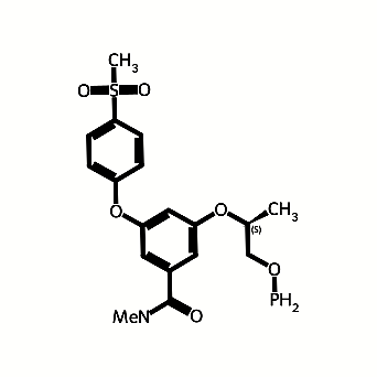 CNC(=O)c1cc(Oc2ccc(S(C)(=O)=O)cc2)cc(O[C@@H](C)COP)c1